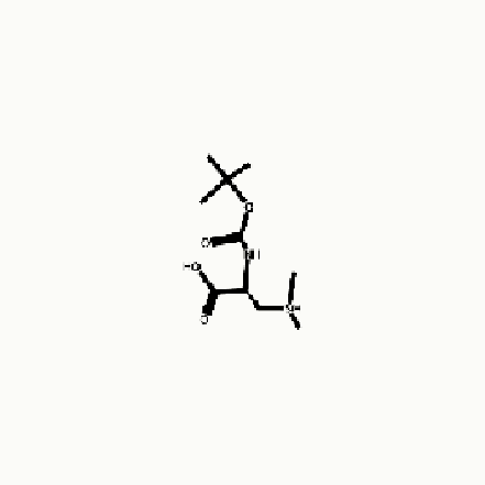 C[SiH](C)C[C@H](NC(=O)OC(C)(C)C)C(=O)O